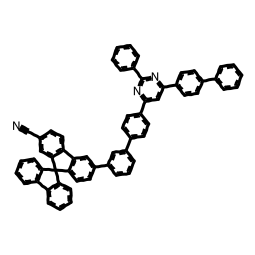 N#Cc1ccc2c(c1)C1(c3ccccc3-c3ccccc31)c1ccc(-c3cccc(-c4ccc(-c5cc(-c6ccc(-c7ccccc7)cc6)nc(-c6ccccc6)n5)cc4)c3)cc1-2